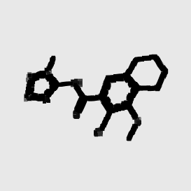 CSc1c(Cl)c(C(=O)Nc2nnnn2C)cc2c1CCCC2